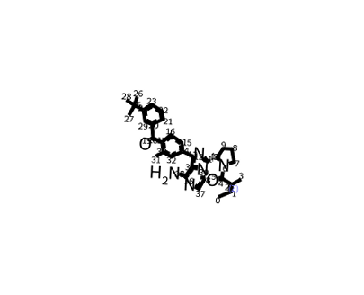 C/C=C(/C)C(=O)N1CCC[C@H]1c1nc(-c2ccc(C(=O)c3cccc(C(C)(C)C)c3)c(C)c2)c2c(N)nccn12